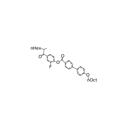 CCCCCCCCOc1ccc(-c2ccc(C(=O)Oc3ccc(C(=O)C(C)CCCCCC)cc3F)cc2)cc1